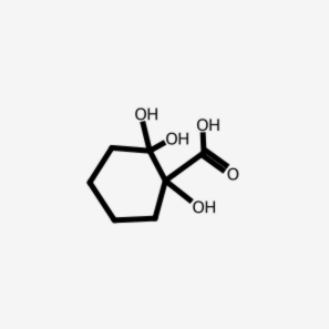 O=C(O)C1(O)CCCCC1(O)O